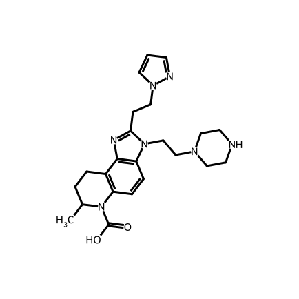 CC1CCc2c(ccc3c2nc(CCn2cccn2)n3CCN2CCNCC2)N1C(=O)O